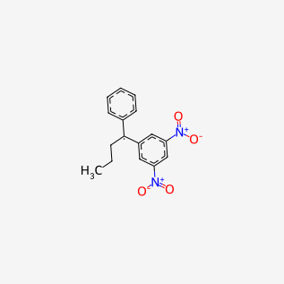 CCC[C](c1ccccc1)c1cc([N+](=O)[O-])cc([N+](=O)[O-])c1